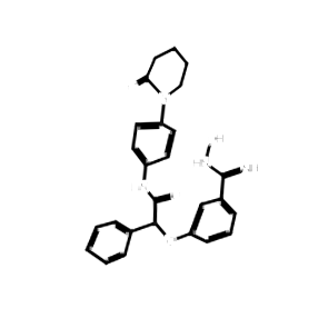 N=C(NO)c1cccc(OC(C(=O)Nc2ccc(N3CCCCC3=O)cc2)c2ccccc2)c1